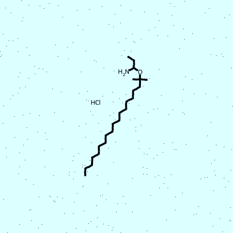 CCCCCCCCCCCCCCCCCC(C)(C)OC(N)CC.Cl